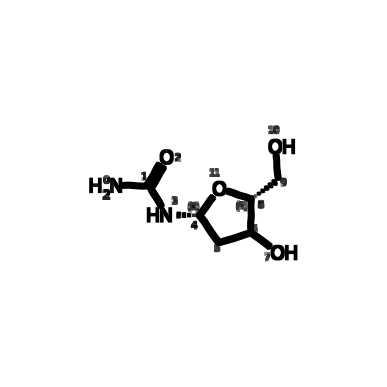 NC(=O)N[C@H]1CC(O)[C@@H](CO)O1